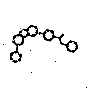 C=C(Cc1ccccc1)c1ccc(-c2ccc3oc4ccc(-c5ccccc5)cc4c3c2)cc1